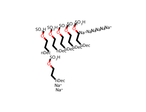 CCCCCCCCCCCCOS(=O)(=O)O.CCCCCCCCCCCCOS(=O)(=O)O.CCCCCCCCCCCCOS(=O)(=O)O.CCCCCCCCCCCCOS(=O)(=O)O.CCCCCCCCCCCCOS(=O)(=O)O.CCCCCCCCCCCCOS(=O)(=O)O.[Na+].[Na+].[Na+].[Na+].[Na+].[Na+].[Na+].[Na+]